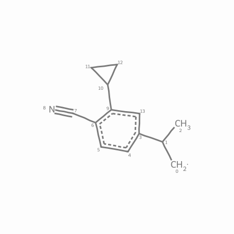 [CH2]C(C)c1ccc(C#N)c(C2CC2)c1